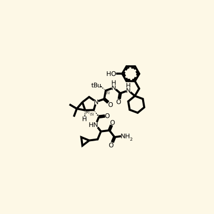 CC(C)(C)[C@H](NC(=O)NC1(Cc2cccc(O)c2)CCCCC1)C(=O)N1CC2[C@@H]([C@H]1C(=O)NC(CC1CC1)C(=O)C(N)=O)C2(C)C